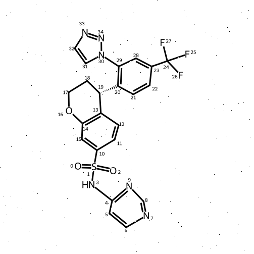 O=S(=O)(Nc1ccncn1)c1ccc2c(c1)OCC[C@@H]2c1ccc(C(F)(F)F)cc1-n1ccnn1